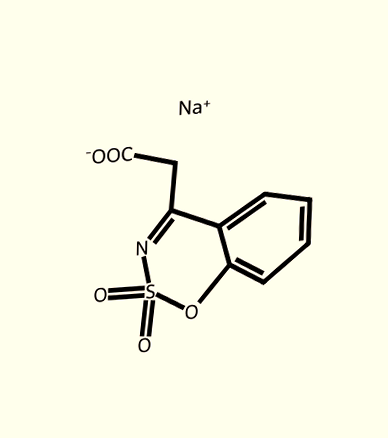 O=C([O-])CC1=NS(=O)(=O)Oc2ccccc21.[Na+]